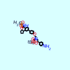 CC(C)(C)OC(=O)N(CCOc1ccc(-c2ccc(C(=O)NS(C)(=O)=O)c(C3CCCC3)c2)cc1)C[C@H](O)c1ccc(N)cc1